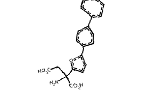 NC(CC(=O)O)(C(=O)O)c1ccc(-c2ccc(-c3ccccc3)cc2)o1